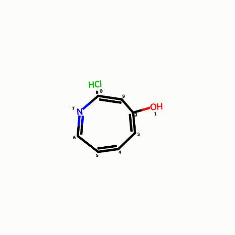 Cl.OC1=CC=CC=NC=C1